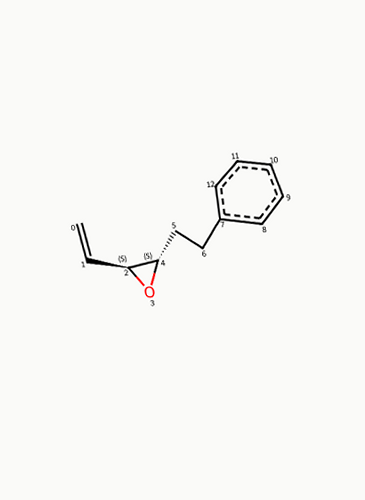 C=C[C@@H]1O[C@H]1CCc1ccccc1